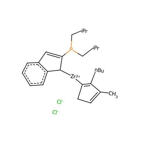 CCCCC1=[C]([Zr+2][CH]2C(P(CC(C)C)CC(C)C)=Cc3ccccc32)CC=C1C.[Cl-].[Cl-]